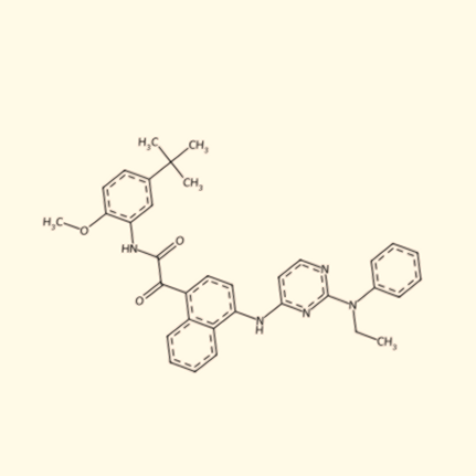 CCN(c1ccccc1)c1nccc(Nc2ccc(C(=O)C(=O)Nc3cc(C(C)(C)C)ccc3OC)c3ccccc23)n1